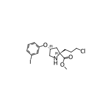 COC(=O)[C@@]1(CCCCl)C[C@@H](Oc2cccc(I)c2)CN1